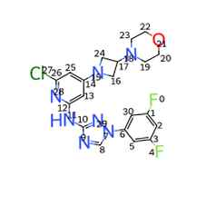 Fc1cc(F)cc(-n2cnc(Nc3cc(N4CC(N5CCOCC5)C4)cc(Cl)n3)n2)c1